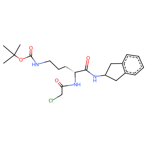 CC(C)(C)OC(=O)NCCC[C@@H](NC(=O)CCl)C(=O)NC1Cc2ccccc2C1